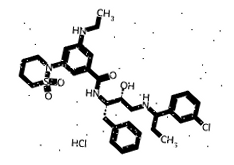 CCNc1cc(C(=O)N[C@@H](Cc2ccccc2)[C@H](O)CNC(CC)c2cccc(Cl)c2)cc(N2CCCCS2(=O)=O)c1.Cl